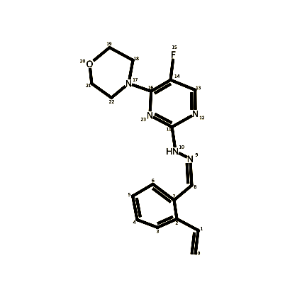 C=Cc1ccccc1/C=N\Nc1ncc(F)c(N2CCOCC2)n1